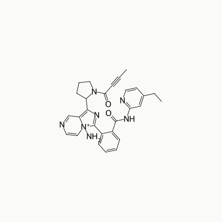 CC#CC(=O)N1CCCC1C1=C2C=NC=C[N+]2(N)C(c2ccccc2C(=O)Nc2cc(CC)ccn2)=N1